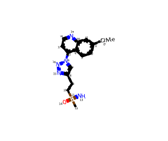 COc1ccc2c(-n3cc(CCS(C)(=N)=O)nn3)ccnc2c1